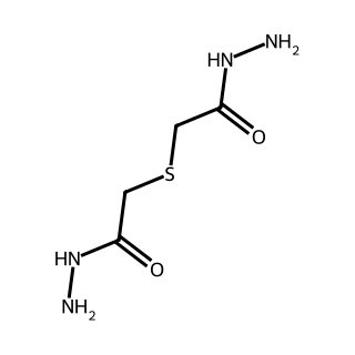 NNC(=O)CSCC(=O)NN